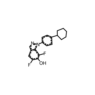 Oc1c(F)cc2cnn(-c3ccc(C4CCCCC4)cc3)c2c1F